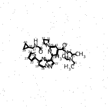 CCN(CC)C(C)CNC(=O)c1cc(-c2cnn3ccc(-c4cccs4)nc23)nc(N2CC[C@H]2C(=O)NCC2CC2)c1